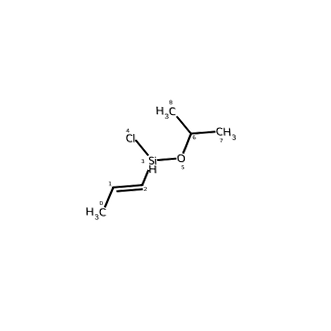 CC=C[SiH](Cl)OC(C)C